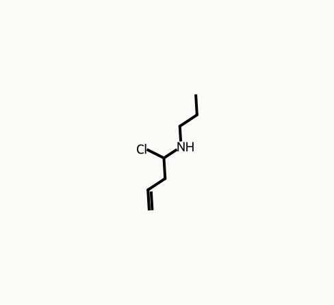 C=CCC(Cl)NCCC